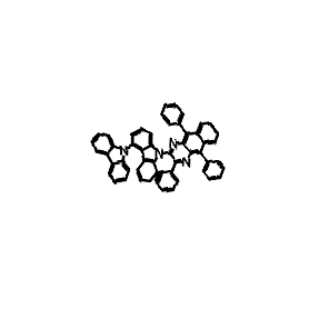 c1cccc(-c2nc3c(-c4ccccc4)c4ccccc4c(-c4ccccc4)c3nc2-n2c3c(c4c(-n5c6ccccc6c6ccccc65)cccc42)C=CCC3)c#1